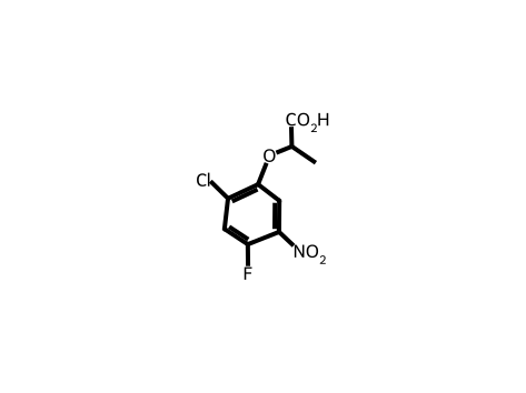 CC(Oc1cc([N+](=O)[O-])c(F)cc1Cl)C(=O)O